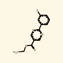 [CH2]COC(=O)c1cnc(-c2cccc(F)c2)nc1